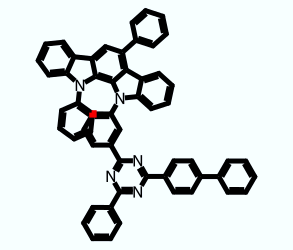 c1ccc(-c2ccc(-c3nc(-c4ccccc4)nc(-c4cccc(-n5c6ccccc6c6c(-c7ccccc7)cc7c8ccccc8n(-c8ccccc8)c7c65)c4)n3)cc2)cc1